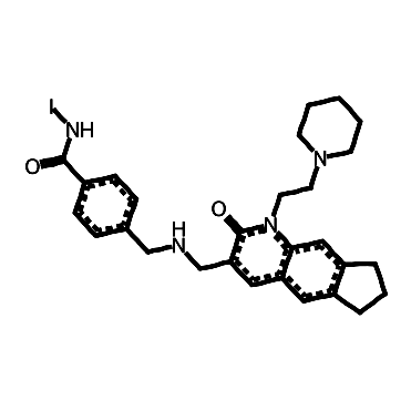 O=C(NI)c1ccc(CNCc2cc3cc4c(cc3n(CCN3CCCCC3)c2=O)CCC4)cc1